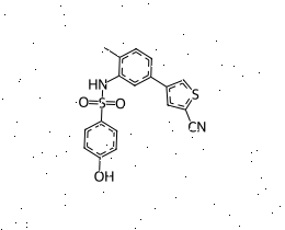 Cc1ccc(-c2csc(C#N)c2)cc1NS(=O)(=O)c1ccc(O)cc1